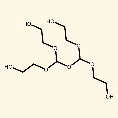 OCCOC(OCCO)OC(OCCO)OCCO